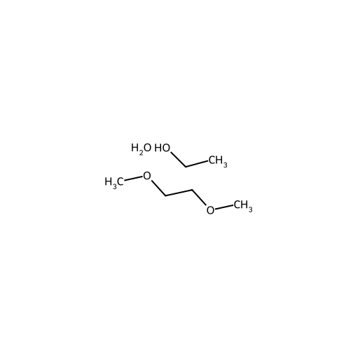 CCO.COCCOC.O